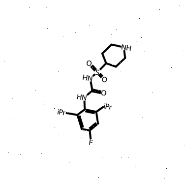 CC(C)c1cc(F)cc(C(C)C)c1NC(=O)NS(=O)(=O)C1CCNCC1